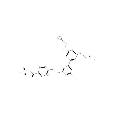 CS(=O)(=O)NC(=O)c1ccc(COc2cc(F)cc(-c3cc(OCCO)cc(OCC4CC4)c3)c2)c(F)c1